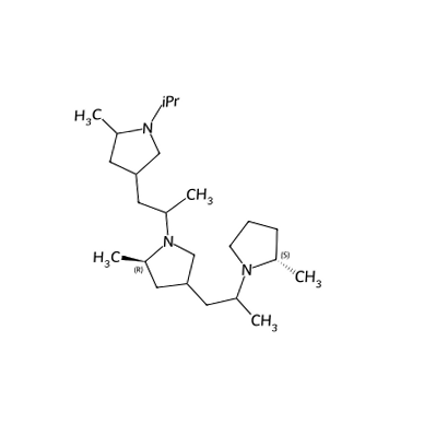 CC(C)N1CC(CC(C)N2CC(CC(C)N3CCC[C@@H]3C)C[C@H]2C)CC1C